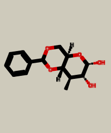 C[C@@H]1[C@@H](O)[C@@H](O)O[C@@H]2COC(c3ccccc3)O[C@@H]12